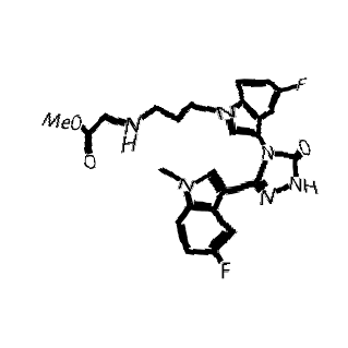 COC(=O)CNCCCn1cc(-n2c(-c3cn(C)c4ccc(F)cc34)n[nH]c2=O)c2cc(F)ccc21